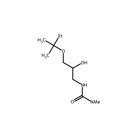 CCC(C)(C)OCC(O)CNC(=O)NC